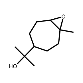 CC(C)(O)C1CCC2OC2(C)CC1